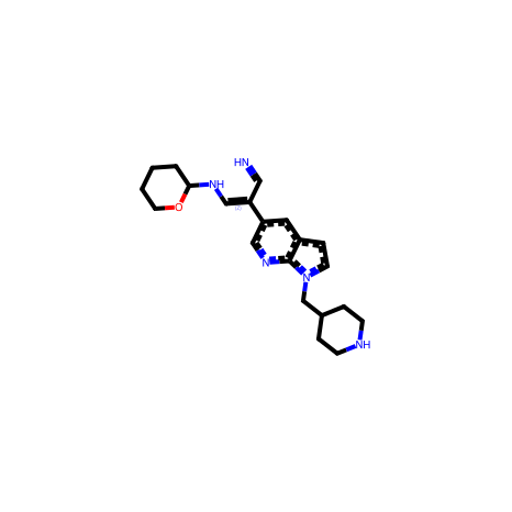 N=C/C(=C\NC1CCCCO1)c1cnc2c(ccn2CC2CCNCC2)c1